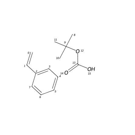 C=Cc1ccccc1.CC(C)(C)OC(=O)O